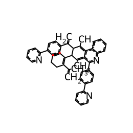 C=C(C)C1=C(C2C(C)=c3c(-c4ccc(-c5ccccn5)cc4)nc4ccccc4c3=C(C)C2C(=C)c2ccc(-c3ccccn3)cc2)C=CCC1